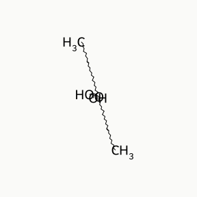 CCCCCCCCC=CCCCCCCCCCCCCOC(CCCCCCCCCCCCC=CCCCCCCCC)C(O)CO